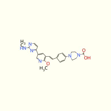 CNc1nccc(-c2cnc(OC)c(/C=C/c3ccc(N4CCN(C(=O)O)CC4)cc3)c2)n1